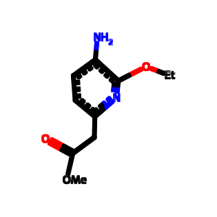 CCOc1nc(CC(=O)OC)ccc1N